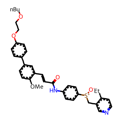 CCCCOCCOc1ccc(-c2ccc(OC)c(/C=C/C(=O)Nc3ccc([S+]([O-])Cc4cnccc4CC)cc3)c2)cc1